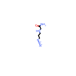 [N-]=[N+]=NCCCNCC(N)=O